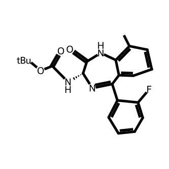 Cc1cccc2c1NC(=O)[C@@H](NC(=O)OC(C)(C)C)N=C2c1ccccc1F